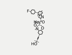 CN1c2cc(C#CC(C)(C)O)ccc2OC[C@H](NC(=O)c2cn3c(-c4ccc(F)cc4)csc3n2)C1O